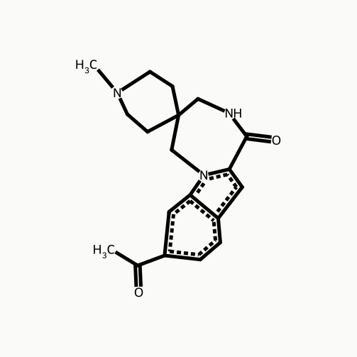 CC(=O)c1ccc2cc3n(c2c1)CC1(CCN(C)CC1)CNC3=O